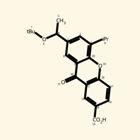 CC(C)c1cc(C(C)OC(C)(C)C)cc2c(=O)c3cc(C(=O)O)ccc3oc12